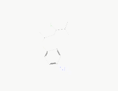 CC(CC(Cl)C(C)C)Sc1ccc(N)cc1